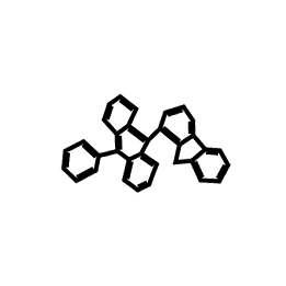 c1ccc(-c2c3ccccc3c(-c3cccc4c3Cc3ccccc3-4)c3ccccc23)cc1